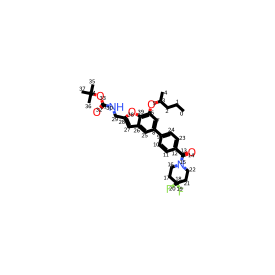 CCCC(C)Oc1cc(-c2ccc(C(=O)N3CCC(F)(F)CC3)cc2)cc2cc(CNC(=O)OC(C)(C)C)oc12